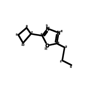 CCCc1nnc(C2CCC2)o1